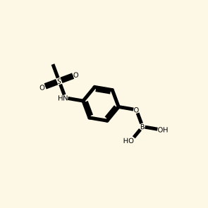 CS(=O)(=O)Nc1ccc(OB(O)O)cc1